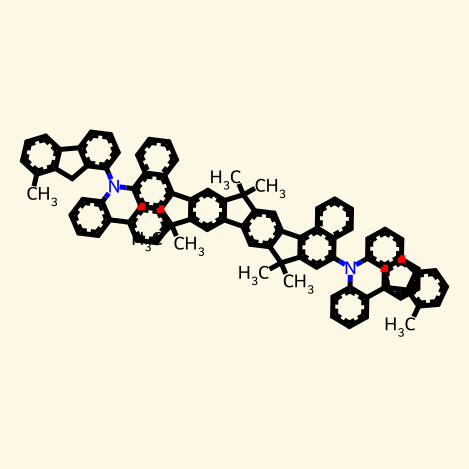 Cc1cccc2c1Cc1c-2cccc1N(c1ccccc1-c1ccccc1)c1cc2c(c3ccccc13)-c1cc3c(cc1C2(C)C)-c1cc2c(cc1C3(C)C)-c1c(cc(N(c3ccccc3-c3ccccc3)c3cccc4c3Cc3c(C)cccc3-4)c3ccccc13)C2(C)C